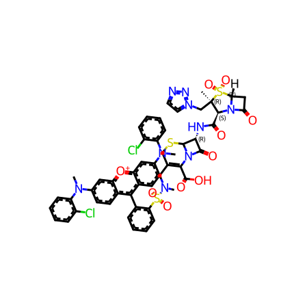 CN(c1ccc2c(-c3ccccc3S(=O)(=O)N(C)CC3=C(C(=O)O)N4C(=O)[C@@H](NC(=O)[C@@H]5N6C(=O)C[C@H]6S(=O)(=O)[C@]5(C)Cn5ccnn5)C4SC3)c3ccc(N(C)c4ccccc4Cl)cc3[o+]c2c1)c1ccccc1Cl